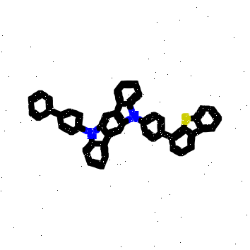 c1ccc(-c2ccc(-n3c4ccccc4c4cc5c(cc43)c3ccccc3n5-c3ccc(-c4cccc5c4sc4ccccc45)cc3)cc2)cc1